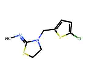 N#C/N=C1\SCCN1Cc1ccc(Cl)s1